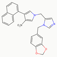 O=[N+]([O-])c1cn(Cc2cncn2Cc2ccc3c(c2)OCO3)cc1-c1cccc2ccccc12